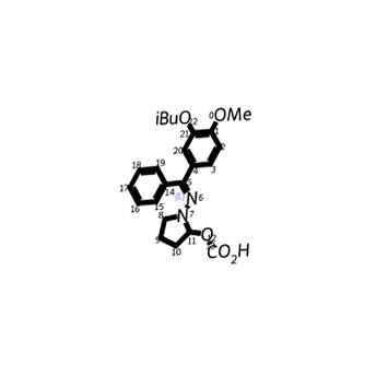 COc1ccc(/C(=N/N2CCCC2OC(=O)O)c2ccccc2)cc1OCC(C)C